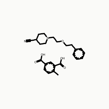 Cc1ccc(C(=O)O)cc1C(=O)O.N#CC1CCN(CCOCCc2ccccc2)CC1